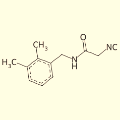 [C-]#[N+]CC(=O)NCc1cccc(C)c1C